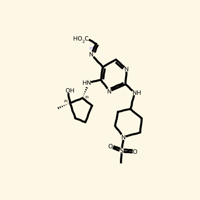 C[C@@]1(O)CCC[C@H]1Nc1nc(NC2CCN(S(C)(=O)=O)CC2)ncc1/N=C/C(=O)O